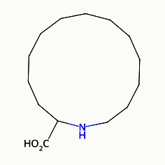 O=C(O)C1CCCCCCCCCCCCN1